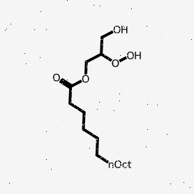 CCCCCCCCCCCCCC(=O)OCC(CO)OO